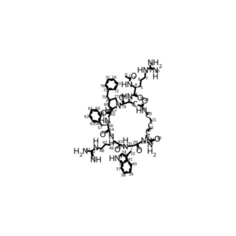 CC(=O)N[C@@H](CCCNC(=N)N)C(=O)N[C@H]1CC(=O)NCCCC[C@@H](C(N)=O)NC(=O)[C@H](Cc2c[nH]c3ccccc23)NC(=O)[C@H](CCCNC(=N)N)NC(=O)[C@@H](Cc2ccccc2)NC(=O)[C@@H]2CC(Cc3ccccc3)CN2C1=O